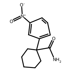 NC(=O)C1(c2cccc([N+](=O)[O-])c2)CCCCC1